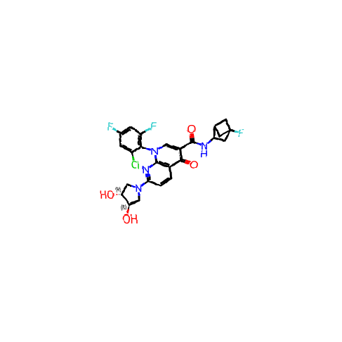 O=C(NC1CC2(F)CC1C2)c1cn(-c2c(F)cc(F)cc2Cl)c2nc(N3C[C@@H](O)[C@H](O)C3)ccc2c1=O